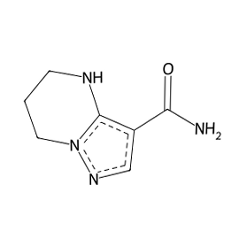 NC(=O)c1cnn2c1NCCC2